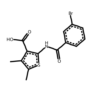 Cc1sc(NC(=O)c2cccc(Br)c2)c(C(=O)O)c1C